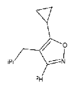 [2H]c1noc(C2CC2)c1CC(C)C